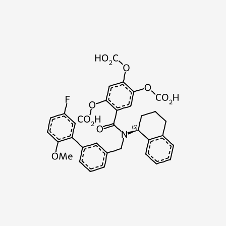 COc1ccc(F)cc1-c1cccc(CN(C(=O)c2cc(OC(=O)O)c(OC(=O)O)cc2OC(=O)O)[C@H]2CCCc3ccccc32)c1